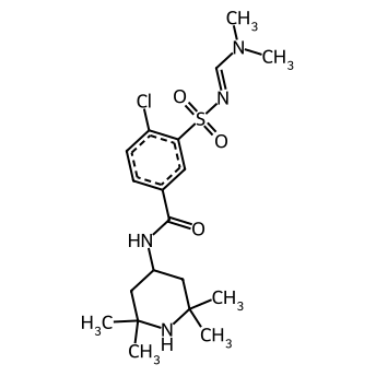 CN(C)/C=N/S(=O)(=O)c1cc(C(=O)NC2CC(C)(C)NC(C)(C)C2)ccc1Cl